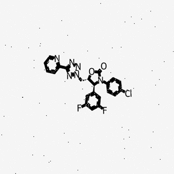 O=C1O[C@@H](Cn2nnc(-c3ccccn3)n2)[C@H](c2cc(F)cc(F)c2)N1c1ccc(Cl)cc1